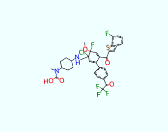 COC1(F)C=C(C(=O)c2cc3cccc(F)c3s2)C(c2ccc(C(=O)C(F)(F)F)cc2)=CC1(Cl)CNC1CCC(N(C)C(=O)O)CC1